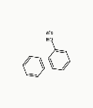 Oc1ccccc1.[Mo].c1ccccc1